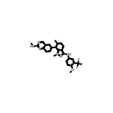 CNc1ncc2cc(-c3c(C)ccc4c(Nc5ccc(OC)c(C(F)(F)F)c5)nn(C)c34)ccc2n1